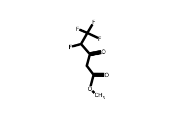 COC(=O)CC(=O)C(F)C(F)(F)F